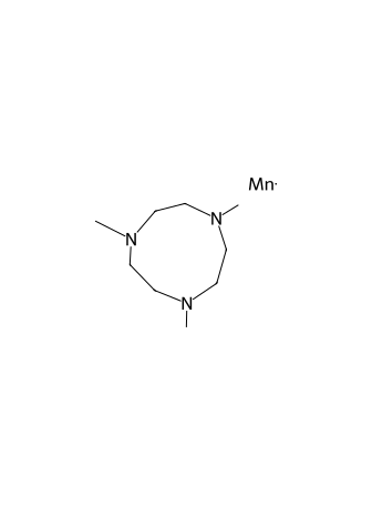 CN1CCN(C)CCN(C)CC1.[Mn]